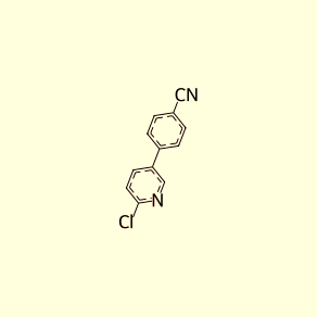 N#Cc1ccc(-c2ccc(Cl)nc2)cc1